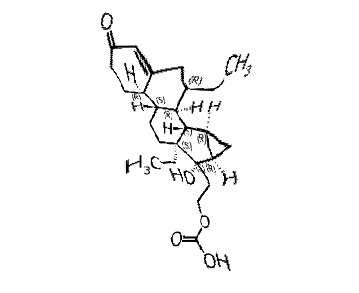 CC[C@@H]1CC2=CC(=O)CC[C@@H]2[C@H]2CC[C@@]3(CC)[C@@H]([C@H]4C[C@H]4[C@@]3(O)CCOC(=O)O)[C@H]12